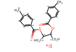 Cc1ccc(C(=O)OC(C(=O)O)C(OC(=O)c2ccc(C)cc2)C(=O)O)cc1.O